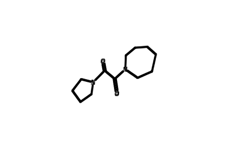 O=C(C(=O)N1CCCC1)N1CCCCCC1